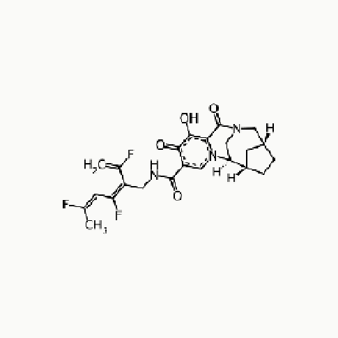 C=C(F)/C(CNC(=O)c1cn2c(c(O)c1=O)C(=O)N1C[C@@H]3CC[C@@H](C3)[C@@H]2C1)=C(F)\C=C(/C)F